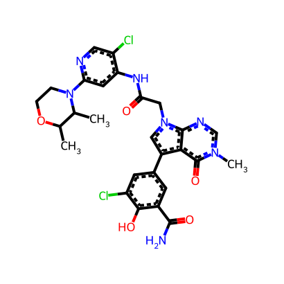 CC1OCCN(c2cc(NC(=O)Cn3cc(-c4cc(Cl)c(O)c(C(N)=O)c4)c4c(=O)n(C)cnc43)c(Cl)cn2)C1C